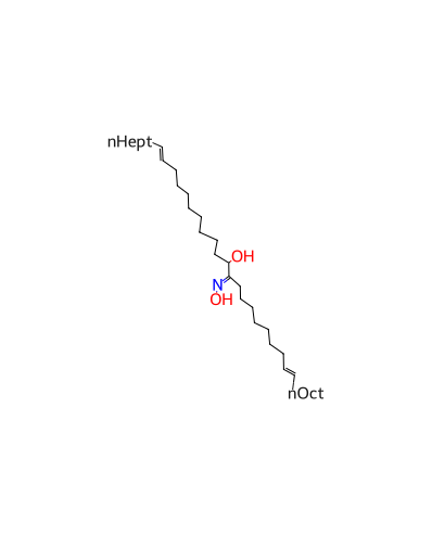 CCCCCCCC=CCCCCCCCCC(O)C(CCCCCCCC=CCCCCCCCC)=NO